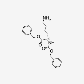 NCCCC[C@H](NC(=O)OCc1ccccc1)C(=O)OCc1ccccc1